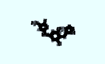 Nc1nc(Nc2cc(Cl)c(Cc3nnn[nH]3)c(C(F)(F)F)c2)n[nH]1